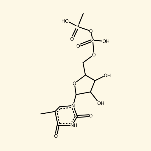 Cc1cn(C2OC(COP(=O)(O)OP(C)(=O)O)C(O)C2O)c(=O)[nH]c1=O